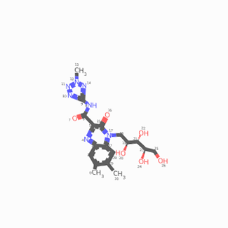 Cc1cc2nc(C(=O)Nc3nnn(C)n3)c(=O)n(C[C@H](O)[C@H](O)[C@H](O)CO)c2cc1C